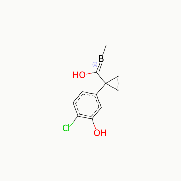 C/B=C(/O)C1(c2ccc(Cl)c(O)c2)CC1